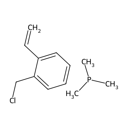 C=Cc1ccccc1CCl.CP(C)C